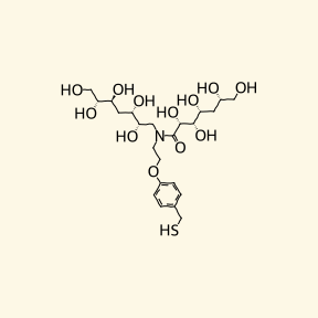 O=C([C@H](O)[C@@H](O)[C@H](O)C[C@H](O)CO)N(CCOc1ccc(CS)cc1)C[C@H](O)[C@@H](O)C[C@H](O)[C@H](O)CO